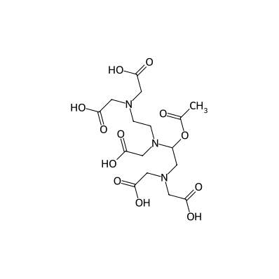 CC(=O)OC(CN(CC(=O)O)CC(=O)O)N(CCN(CC(=O)O)CC(=O)O)CC(=O)O